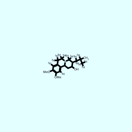 [2H]c1c(OC)c(OC)c([2H])c2c1C1CC(O)C(C([2H])([2H])C([2H])(C)C([2H])([2H])[2H])C([2H])([2H])N1C([2H])([2H])C2([2H])[2H]